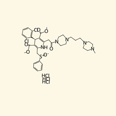 COC(=O)C1=C(CC(=O)N2CCN(CCCN3CCN(C)CC3)CC2)NC(C[S+]([O-])c2ccccc2)=C(C(=O)OC)[C@H]1c1c(Cl)cccc1Cl.Cl.Cl.Cl